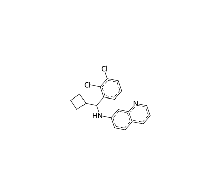 Clc1cccc(C(Nc2ccc3cccnc3c2)C2CCC2)c1Cl